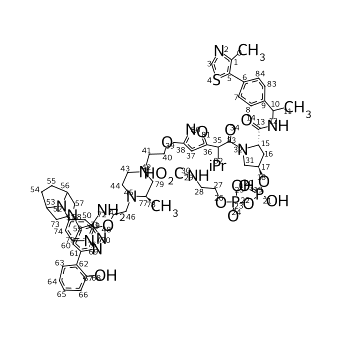 Cc1ncsc1-c1ccc(C(C)NC(=O)[C@@H]2C[C@@H](OP(=O)(O)OP(=O)(O)OCCNC(=O)O)CN2C(=O)C(c2cc(OCCN3CCN(CCOc4cc(N5C6CCC5CN(c5cc(-c7ccccc7O)nnc5N)C6)ccn4)[C@H](C)C3)no2)C(C)C)cc1